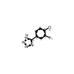 Fc1[c]c(-c2nnn[nH]2)ccc1Cl